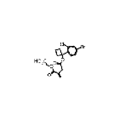 C=C(CC(=O)OC1(c2ccc(Br)cc2Cl)CCC1)C(=O)OCC(=O)O